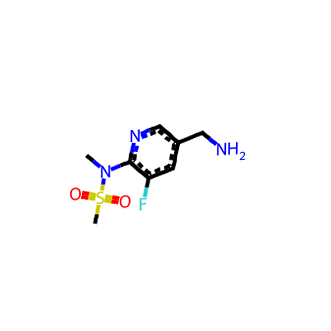 CN(c1ncc(CN)cc1F)S(C)(=O)=O